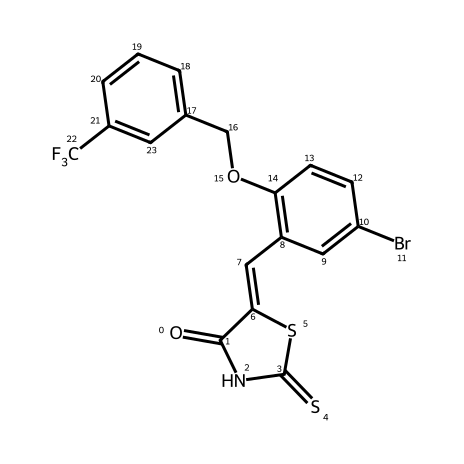 O=C1NC(=S)S/C1=C\c1cc(Br)ccc1OCc1cccc(C(F)(F)F)c1